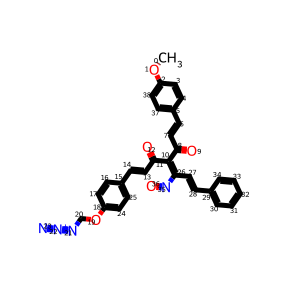 COc1ccc(/C=C/C(=O)/C(C(=O)/C=C/c2ccc(OCN=[N+]=[N-])cc2)=C(\C=C\c2ccccc2)N=O)cc1